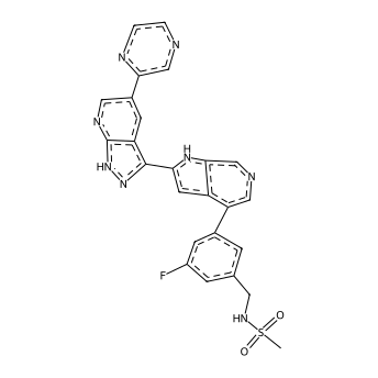 CS(=O)(=O)NCc1cc(F)cc(-c2cncc3[nH]c(-c4n[nH]c5ncc(-c6cnccn6)cc45)cc23)c1